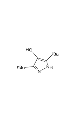 CCCCc1n[nH]c(C(C)CC)c1O